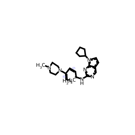 C=C(/C=C\C(=C/N)N1CCN(C)CC1)Nc1ncc2ccn(C3CCCC3)c2n1